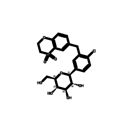 O=S1(=O)CCOc2ccc(Cc3cc([C@@H]4O[C@H](CO)[C@@H](O)[C@H](O)[C@H]4O)ccc3Cl)cc21